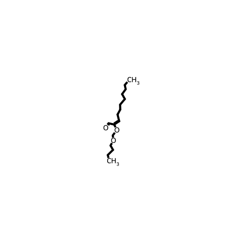 CCCCCCCC/C=C(\C=O)OCOCCCC